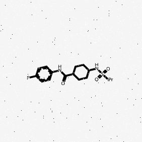 CC(C)S(=O)(=O)NC1CCC(C(=O)Nc2ccc(F)cc2)CC1